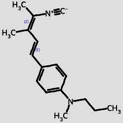 [C-]#[N+]/C(C)=C(C)\C=C\c1ccc(N(C)CCC)cc1